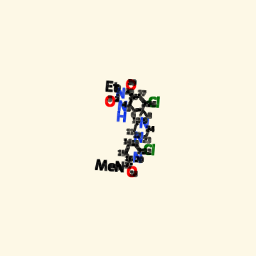 CCn1c(=O)[nH]c2cc(CN3CCN(c4ccc(C(=O)NC)nc4Cl)CC3)c(Cl)cc2c1=O